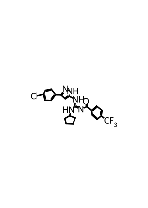 O=C(/N=C(\Nc1cc(-c2ccc(Cl)cc2)n[nH]1)NC1CCCC1)c1ccc(C(F)(F)F)cc1